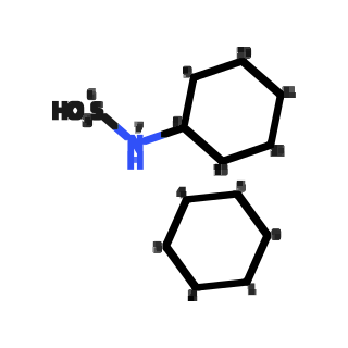 C1CCCCC1.O=S(=O)(O)NC1CCCCC1